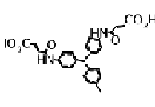 Cc1ccc(C(c2ccc(NC(=O)/C=C/C(=O)O)cc2)c2ccc(NC(=O)/C=C/C(=O)O)cc2)cc1